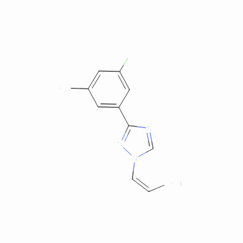 O=C(O)/C=C\n1cnc(-c2cc(F)cc(C(F)(F)F)c2)n1